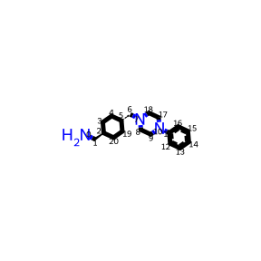 NC[C@H]1CC[C@H](CN2CCN(c3ccccc3)CC2)CC1